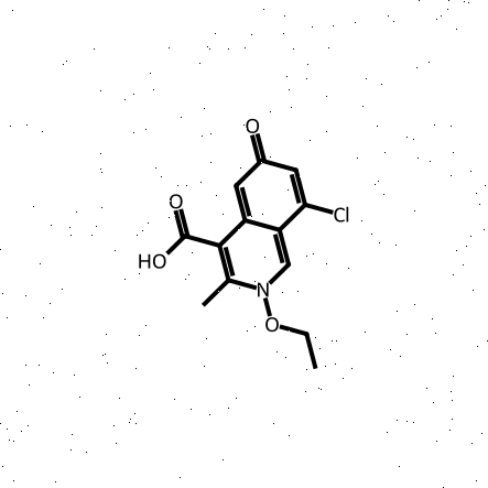 CCOn1cc2c(Cl)cc(=O)cc-2c(C(=O)O)c1C